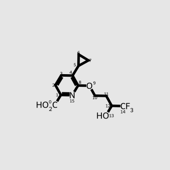 O=C(O)c1ccc(C2CC2)c(OCCC(O)C(F)(F)F)n1